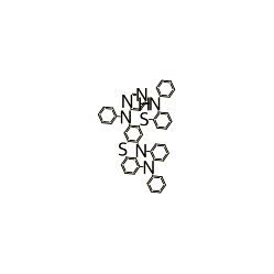 c1ccc(N2c3ccccc3N3c4cc5c(cc4Sc4cccc2c43)N(c2ccccc2)c2ncnc3c2[SH]5c2ccccc2N3c2ccccc2)cc1